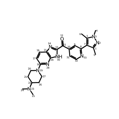 Cc1nn(C)c(C)c1-c1cc(C(=O)c2nc3ccc(N4CCC(N(C)C)CC4)nc3[nH]2)ccn1